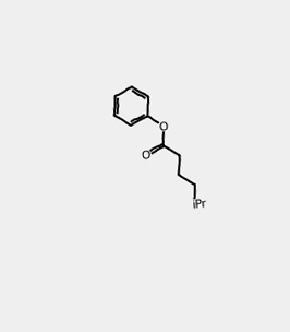 CC(C)CCCC(=O)Oc1ccccc1